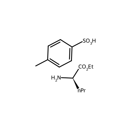 CCC[C@@H](N)C(=O)OCC.Cc1ccc(S(=O)(=O)O)cc1